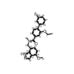 CCOc1cc(C(=O)N(C)Cc2ccc(OC)c3cn[nH]c23)ccc1-c1cccc(F)c1